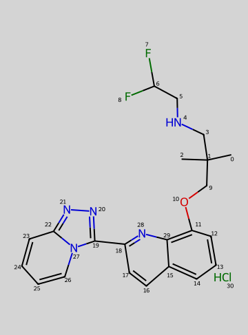 CC(C)(CNCC(F)F)COc1cccc2ccc(-c3nnc4ccccn34)nc12.Cl